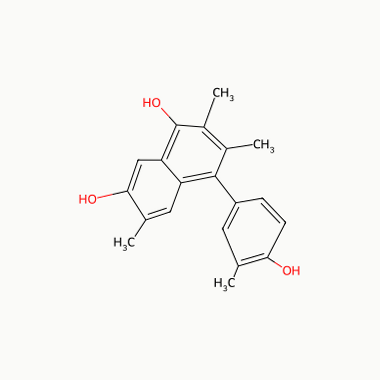 Cc1cc(-c2c(C)c(C)c(O)c3cc(O)c(C)cc23)ccc1O